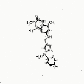 Cc1nc(NCc2cnn([C@@H](C)c3ccc(F)cc3)c2)nc2c1NC(=O)[C@H](C)N2C